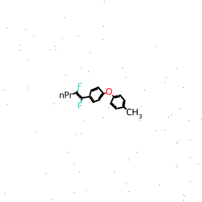 CCCC(F)=C(F)c1ccc(Oc2ccc(C)cc2)cc1